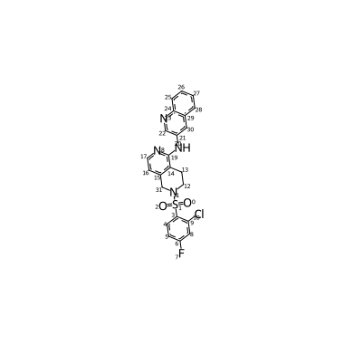 O=S(=O)(c1ccc(F)cc1Cl)N1CCc2c(ccnc2Nc2cnc3ccccc3c2)C1